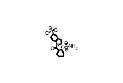 NS(=O)(=O)Oc1ccccc1C(=O)N1CCc2cc(S(=O)(=O)Cl)ccc21